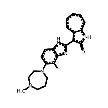 CN1CCCN(c2ccc3[nH]c(-c4c5cccccc-5[nH]c4=O)nc3c2F)CC1